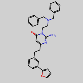 Nc1nc(CCc2cccc(-c3ccco3)c2)cc(=O)n1CCN(Cc1ccccc1)Cc1ccccc1